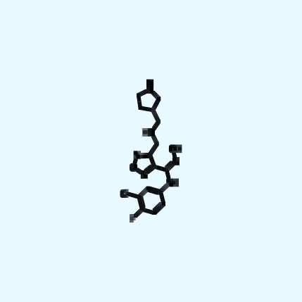 O/N=C(/Nc1ccc(F)c(Cl)c1)c1nonc1CNCC1CCNC1